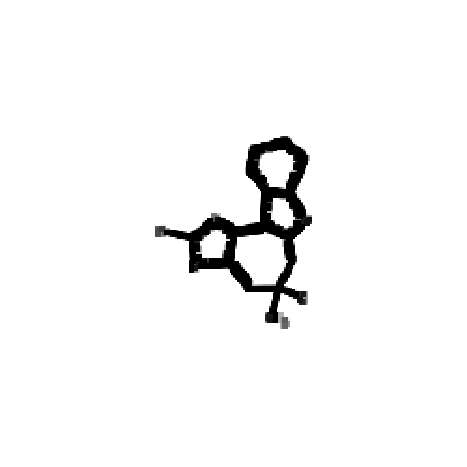 CC1(Cl)C=c2nc(Cl)sc2=c2c(oc3ccccc23)=C1